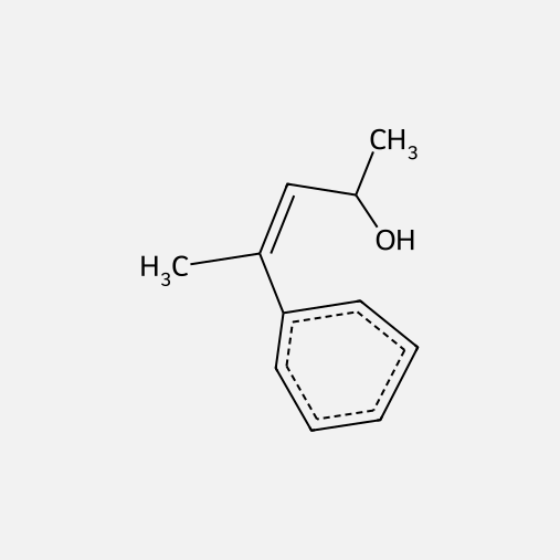 C/C(=C/C(C)O)c1ccccc1